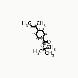 CC[C@H](C)C1CCN(C(=O)OC(C)(C)C)CC1